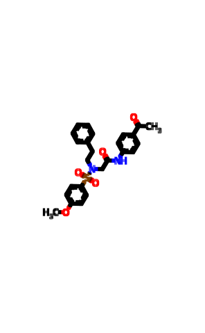 COc1ccc(S(=O)(=O)N(CCc2ccccc2)CC(=O)Nc2ccc(C(C)=O)cc2)cc1